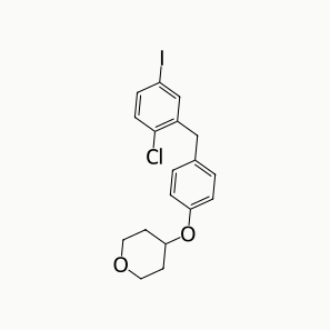 Clc1ccc(I)cc1Cc1ccc(OC2CCOCC2)cc1